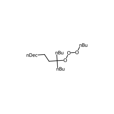 CCCCCCCCCCCCC(CCCC)(CCCC)OOOCCCC